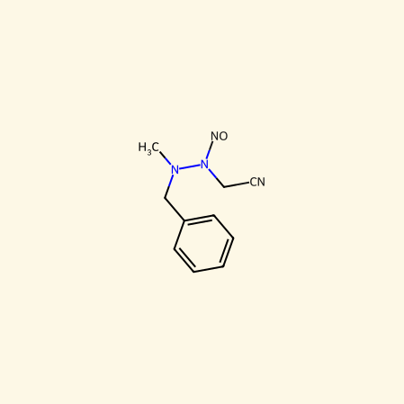 CN(Cc1ccccc1)N(CC#N)N=O